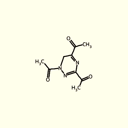 CC(=O)C1=NC(C(C)=O)=NN(C(C)=O)C1